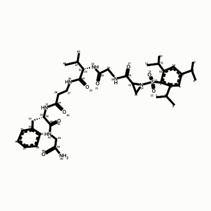 CC(C)c1cc(C(C)C)c(S(=O)(=O)N2CC2C(=O)NCC(=O)N[C@H](C(=O)NCCC(=O)N[C@@H](Cc2ccccc2)C(=O)NCC(N)=O)C(C)C)c(C(C)C)c1